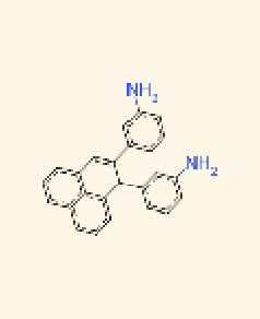 Nc1cccc(C2=Cc3cccc4cccc(c34)C2c2cccc(N)c2)c1